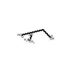 CN(C)CCCC(=O)OC(CCCCCCCC/C=C\CCCCCCCC(=O)O)CCCCCCCC(=O)O